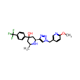 COc1ccc(Cn2cc([C@@H]3CC(O)(c4ccc(C(F)(F)F)cc4)C[C@H](C)N3)nn2)cn1